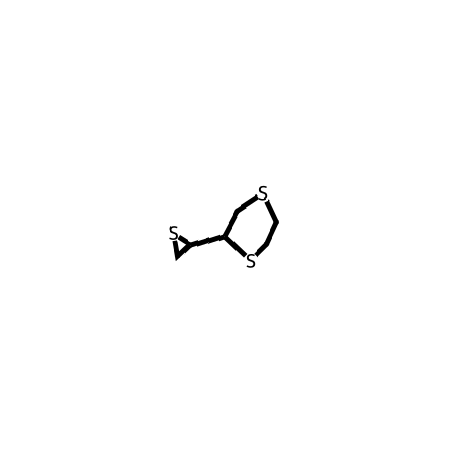 C1CSC(C2CS2)CS1